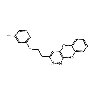 Cc1cccc(CCCc2cc3c(nn2)Oc2ccccc2O3)c1